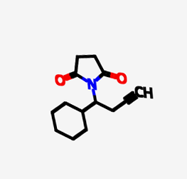 C#CCC(C1CCCCC1)N1C(=O)CCC1=O